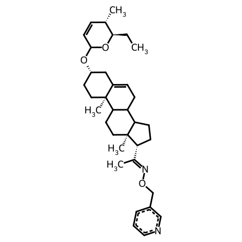 CC[C@H]1OC(O[C@H]2CC[C@@]3(C)C(=CCC4C3CC[C@@]3(C)C4CC[C@@H]3/C(C)=N/OCc3cccnc3)C2)C=C[C@@H]1C